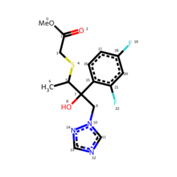 COC(=O)CSC(C)C(O)(Cn1cncn1)c1ccc(F)cc1F